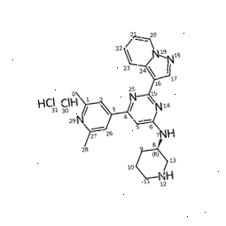 Cc1cc(-c2cc(N[C@@H]3CCCNC3)nc(-c3cnn4ccccc34)n2)cc(C)n1.Cl.Cl